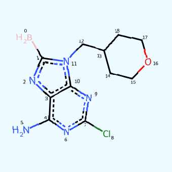 Bc1nc2c(N)nc(Cl)nc2n1CC1CCOCC1